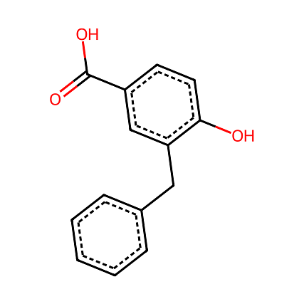 O=C(O)c1ccc(O)c(Cc2ccccc2)c1